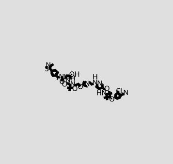 Cc1ncsc1-c1ccc([C@H](C)NC(=O)[C@@H]2C[C@@H](O)CN2C(=O)[C@@H](NC(=O)COC2CN(CCNc3ccc(C(=O)N[C@H]4C(C)(C)[C@H](Oc5ccc(C#N)c(Cl)c5)C4(C)C)cn3)C2)C(C)(C)C)cc1